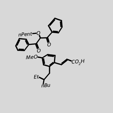 CCCCC(CC)Cc1cc(OC)ccc1C=CC(=O)O.CCCCCOC(C(=O)c1ccccc1)C(=O)c1ccccc1